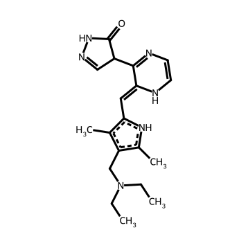 CCN(CC)Cc1c(C)[nH]c(C=C2NC=CN=C2C2C=NNC2=O)c1C